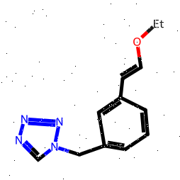 CCO/C=C/c1cccc(Cn2cnnn2)c1